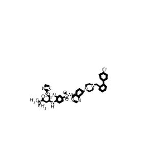 CN(C)C(=O)CC(CSc1nccs1)Nc1ccc(S(=O)(=O)Nc2ncnc3cc(N4CCN(Cc5ccccc5-c5ccc(Cl)cc5)CC4)ccc23)cc1[N+](=O)[O-]